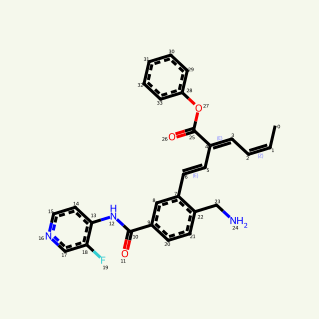 C\C=C/C=C(\C=C\c1cc(C(=O)Nc2ccncc2F)ccc1CN)C(=O)Oc1ccccc1